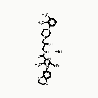 CCCc1nc(C(=O)NCC(O)CN2CCN(c3cccc(C)c3C)CC2)c(C)n1-c1ccc2c(c1)OCCO2.Cl.Cl